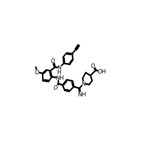 C#Cc1ccc(NC(=O)c2cc(OC)ccc2NC(=O)c2ccc(C(=N)N3CCC(C(=O)O)CC3)cc2)cc1